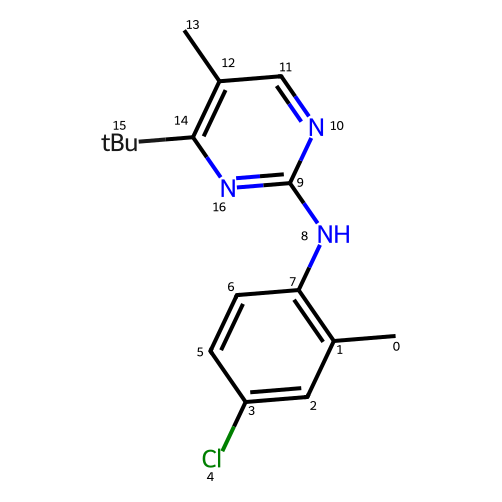 Cc1cc(Cl)ccc1Nc1ncc(C)c(C(C)(C)C)n1